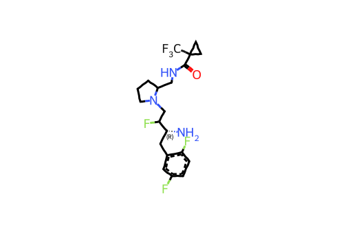 N[C@H](Cc1cc(F)ccc1F)C(F)CN1CCCC1CNC(=O)C1(C(F)(F)F)CC1